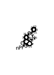 CCCC(=O)OC12CCCC[C@]1(CCN(C)C)c1cc(OCc3ccccc3)ccc1CC2